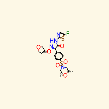 C[C@@H]1CN(S(=O)(=O)c2ccc(/C(=N\O[C@@H]3CCOC3)C(=O)Nc3ncc(F)s3)cc2)C[C@H](C)O1